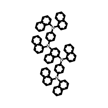 c1ccc2c(N(c3ccc(N(c4cccc5ccccc45)c4ccc(N(c5ccc(N(c6cccc7ccccc67)c6cccc7ccccc67)cc5)c5cccc6ccccc56)c5ccccc45)cc3)c3cccc4ccccc34)cccc2c1